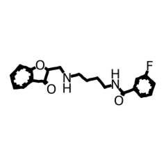 O=C(NCCCCNCC1Oc2ccccc2C1=O)c1cccc(F)c1